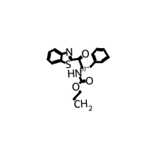 C=CCOC(=O)N[C@@H](Cc1ccccc1)C(=O)c1nc2ccccc2s1